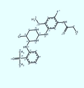 COc1cc(F)c(NC(=O)CCl)cc1NC1NCC(Cl)C(Nc2ccccc2P(C)(C)=O)N1